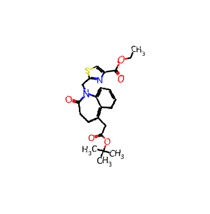 CCOC(=O)c1csc(CN2C(=O)CCC(CC(=O)OC(C)(C)C)=C3CC=CC=C32)n1